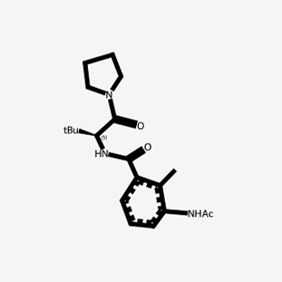 CC(=O)Nc1cccc(C(=O)N[C@H](C(=O)N2CCCC2)C(C)(C)C)c1C